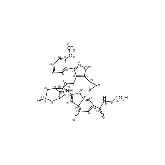 C[C@@H]1CC2C[C@H](OCc3c(-c4ccccc4OC(F)(F)F)noc3C3CC3)C(C1)C2Nc1nc2c(F)cc(C(=O)NCC(=O)O)cc2s1